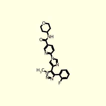 Cn1nnc(-c2ccccc2F)c1-c1cn(-c2ccc(C(=O)NC3CCOCC3)cn2)cn1